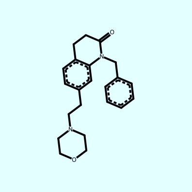 O=C1CCc2ccc(CCN3CCOCC3)cc2N1Cc1ccccc1